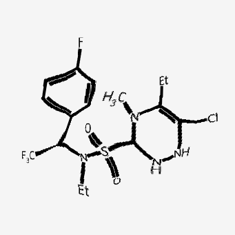 CCC1=C(Cl)NNC(S(=O)(=O)N(CC)[C@H](c2ccc(F)cc2)C(F)(F)F)N1C